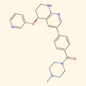 CN1CCN(C(=O)c2ccc(-c3cnc4c(c3)[C@@H](Oc3cccnc3)CCN4)cc2)CC1